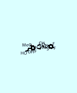 COc1cc(N2CCN(C(=O)Nc3nc4cc(F)c(F)cc4s3)[C@@H](C)C2)c(F)cc1C[C@H](O)CO